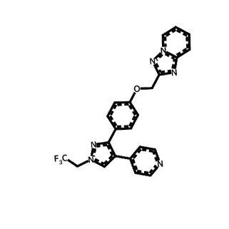 FC(F)(F)Cn1cc(-c2ccncc2)c(-c2ccc(OCc3nc4ccccn4n3)cc2)n1